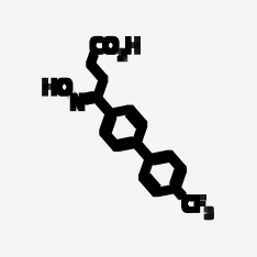 O=C(O)CCC(=NO)c1ccc(-c2ccc(C(F)(F)F)cc2)cc1